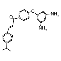 CC(C)c1ccc(/C=C/C(=O)c2ccc(Oc3cc(N)cc(N)c3)cc2)cc1